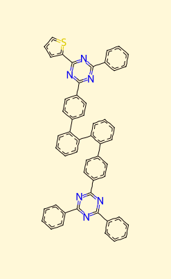 c1ccc(-c2nc(-c3ccccc3)nc(-c3ccc(-c4ccccc4-c4ccccc4-c4ccc(-c5nc(-c6ccccc6)nc(-c6cccs6)n5)cc4)cc3)n2)cc1